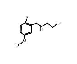 OCCNCc1cc(OC(F)(F)F)ccc1F